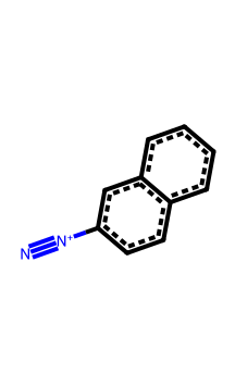 N#[N+]c1ccc2ccccc2c1